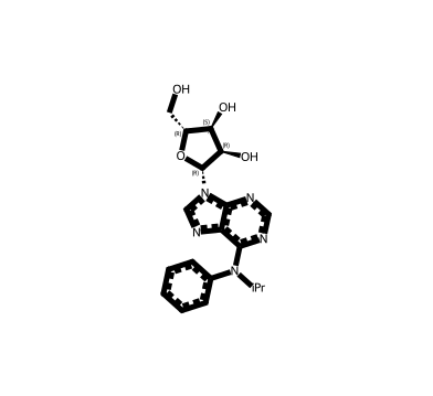 CC(C)N(c1ccccc1)c1ncnc2c1ncn2[C@@H]1O[C@H](CO)[C@@H](O)[C@H]1O